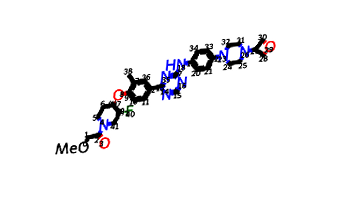 COCC(=O)N1CC[C@H](Oc2ccc(-c3ncnc(Nc4ccc(N5CCN(C6COC6)CC5)cc4)n3)cc2C)[C@H](F)C1